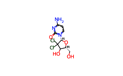 Nc1ccn([C@@H]2O[C@H](CO)C(O)C2(Cl)Cl)c(=O)n1